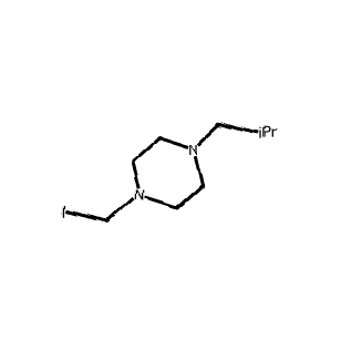 CC(C)CN1CCN(CI)CC1